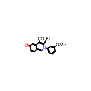 CCOC(=O)c1c2cc(=O)ccc-2cn(-c2cccc(OC)c2)c1C